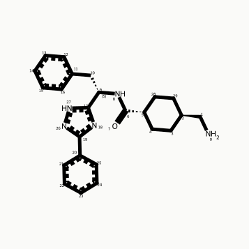 NC[C@H]1CC[C@H](C(=O)N[C@@H](Cc2ccccc2)c2nc(-c3ccccc3)n[nH]2)CC1